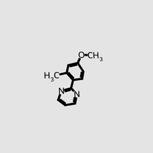 COc1ccc(-c2ncccn2)c(C)c1